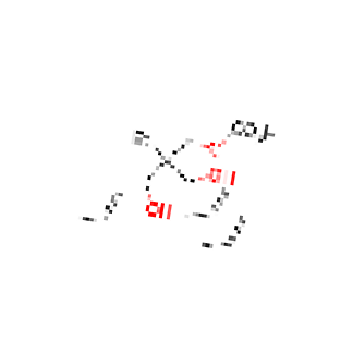 C=CC.C=CC.C=CC.CCC(CO)(CO)COC(=O)O